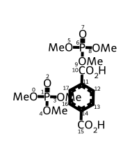 COP(=O)(OC)OC.COP(=O)(OC)OC.O=C(O)c1ccc(C(=O)O)cc1